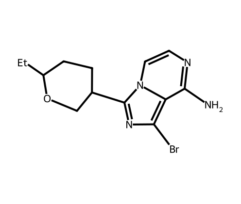 CCC1CCC(c2nc(Br)c3c(N)nccn23)CO1